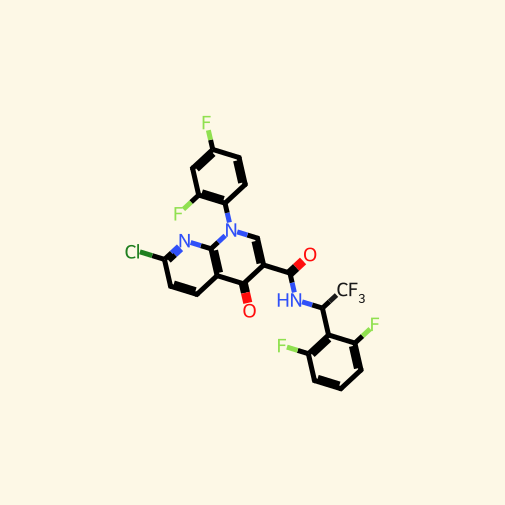 O=C(NC(c1c(F)cccc1F)C(F)(F)F)c1cn(-c2ccc(F)cc2F)c2nc(Cl)ccc2c1=O